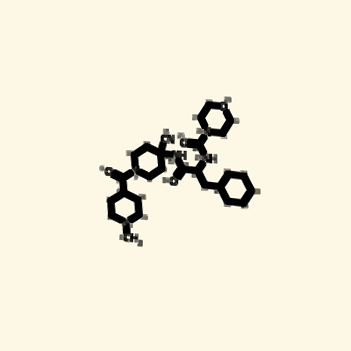 CN1CCC(C(=O)N2CCC(C#N)(NC(=O)C(CC3CCCCC3)NC(=O)N3CCOCC3)CC2)CC1